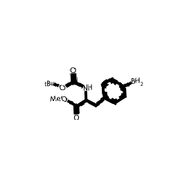 Bc1ccc(CC(NC(=O)OC(C)(C)C)C(=O)OC)cc1